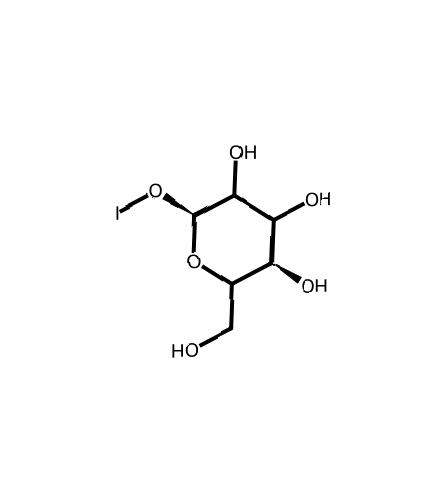 OCC1O[C@@H](OI)C(O)C(O)[C@H]1O